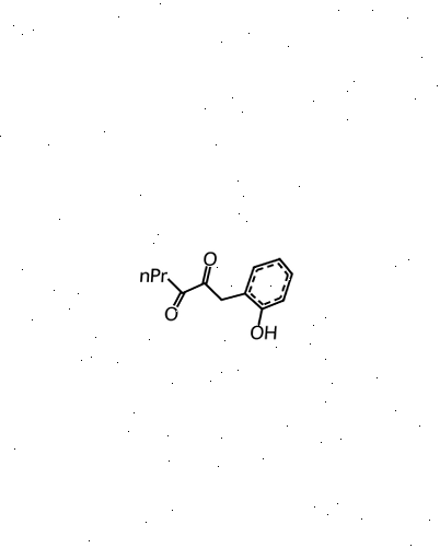 CCCC(=O)C(=O)Cc1ccccc1O